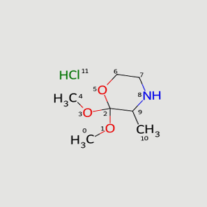 COC1(OC)OCCNC1C.Cl